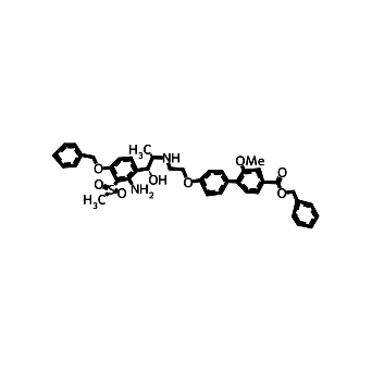 COc1cc(C(=O)OCc2ccccc2)ccc1-c1ccc(OCCN[C@@H](C)[C@H](O)c2ccc(OCc3ccccc3)c(S(C)(=O)=O)c2N)cc1